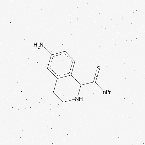 CCCC(=S)C1NCCc2cc(N)ccc21